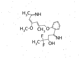 COC(/C=C(\C)COc1ccccc1C(=N)CC(O)C(C)(F)F)=C/C(C)=N